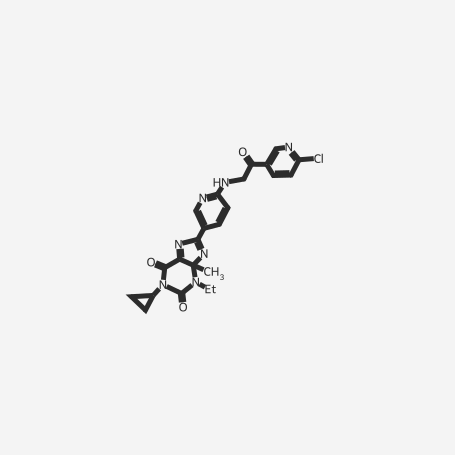 CCN1C(=O)N(C2CC2)C(=O)C2=NC(c3ccc(NCC(=O)c4ccc(Cl)nc4)nc3)=NC21C